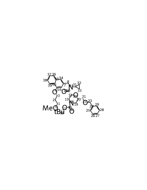 COCCCOc1cc(CN(C(=O)[C@H]2CN(C(=O)OC(C)(C)C)C[C@@H](COCc3ccccc3)O2)C2CC2)cc2ccccc12